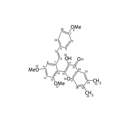 COc1ccc(C=Cc2cc(OC)cc(OC)c2-c2oc3cc(C)c(C)cc3c(=O)c2O)cc1